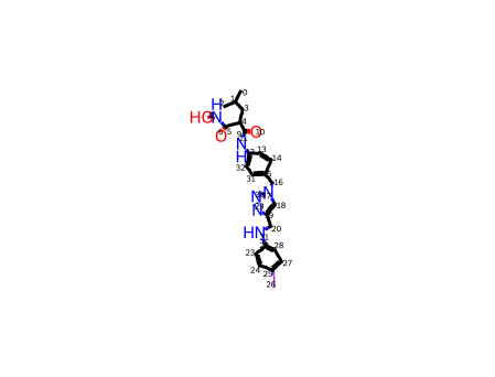 CC(C)CC(C(=O)NO)C(=O)Nc1ccc(Cn2cc(CNc3ccc(I)cc3)nn2)cc1